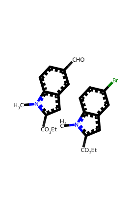 CCOC(=O)c1cc2cc(Br)ccc2n1C.CCOC(=O)c1cc2cc(C=O)ccc2n1C